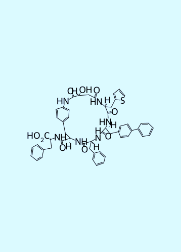 O=C1C[C@@H](O)C(=O)Nc2ccc(cc2)C[C@H](C(=O)N[C@@H](Cc2ccccc2)C(=O)O)NC(=O)[C@@H](Cc2ccccc2)NC(=O)[C@H](Cc2ccc(-c3ccccc3)cc2)NC(=O)[C@@H](Cc2cccs2)N1